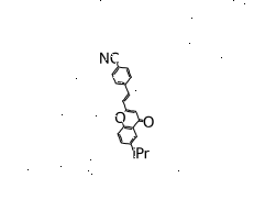 CC(C)c1ccc2oc(C=Cc3ccc(C#N)cc3)cc(=O)c2c1